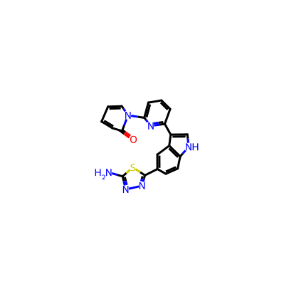 Nc1nnc(-c2ccc3[nH]cc(-c4cccc(-n5ccccc5=O)n4)c3c2)s1